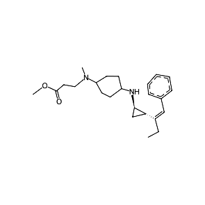 CCC(=Cc1ccccc1)[C@@H]1C[C@H]1NC1CCC(N(C)CCC(=O)OC)CC1